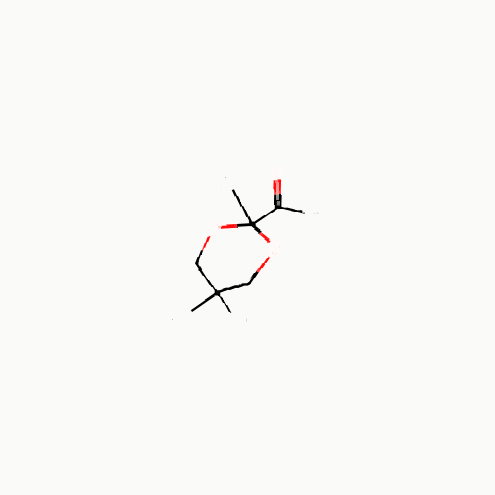 CC(=O)C1(C)OCC(C)(C)CO1